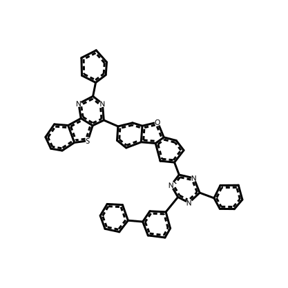 c1ccc(-c2cccc(-c3nc(-c4ccccc4)nc(-c4ccc5oc6cc(-c7nc(-c8ccccc8)nc8c7sc7ccccc78)ccc6c5c4)n3)c2)cc1